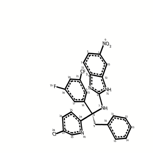 O=[N+]([O-])c1ccc2nc(N[C@](Cc3ccccc3)(c3cc(F)cc(C(F)(F)F)c3)c3ccc(Cl)cn3)[nH]c2c1